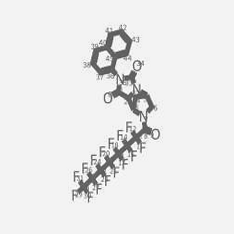 O=C1C2C3CC(CN3C(=O)C(F)(F)C(F)(F)C(F)(F)C(F)(F)C(F)(F)C(F)(F)C(F)(F)F)N2C(=O)N1c1cccc2ccccc12